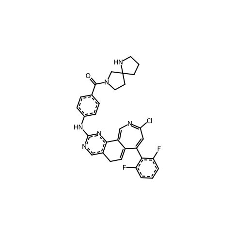 O=C(c1ccc(Nc2ncc3c(n2)C2=CN=C(Cl)C=C(c4c(F)cccc4F)C2=CC3)cc1)N1CCC2(CCCN2)C1